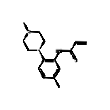 C=CC(=O)Nc1cc(C)ccc1N1CCN(C)CC1